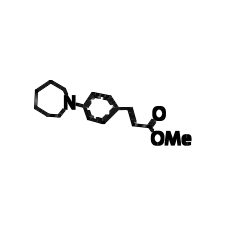 COC(=O)C=Cc1ccc(N2CCCCCC2)cc1